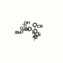 Cc1cc2ncc3cc(-c4ccccc4C#N)c(-c4ccc([C@]5(NC(=O)OC(C)(C)C)C[C@@](C)(O)C5)cc4)nc3n2n1